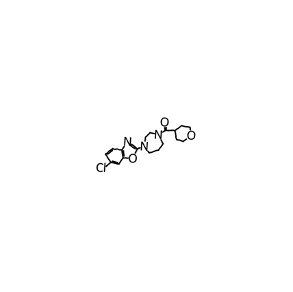 O=C(C1CCOCC1)N1CCCN(c2nc3ccc(Cl)cc3o2)CC1